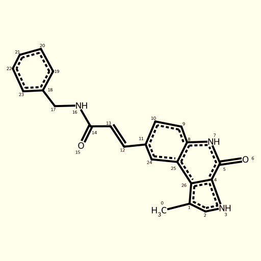 Cc1c[nH]c2c(=O)[nH]c3ccc(/C=C/C(=O)NCc4ccccc4)cc3c12